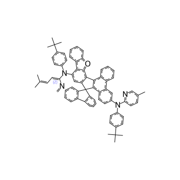 C=N/C(=C\C=C(C)C)N(c1ccc(C(C)(C)C)cc1)c1cc2c(c3oc4ccccc4c13)-c1c(c3ccc(N(c4ccc(C(C)(C)C)cc4)c4ccc(C)cn4)cc3c3ccccc13)C21c2ccccc2-c2ccccc21